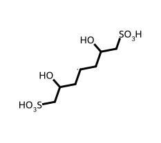 O=S(=O)(O)CC(O)C[CH]CC(O)CS(=O)(=O)O